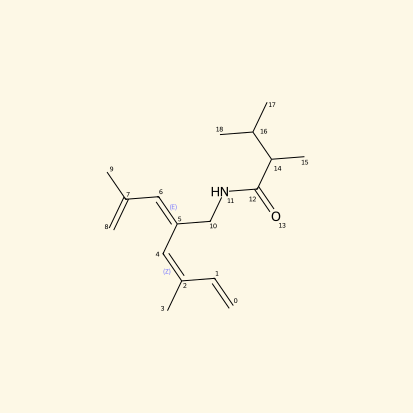 C=C/C(C)=C\C(=C/C(=C)C)CNC(=O)C(C)C(C)C